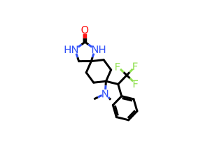 CN(C)C1(C(c2ccccc2)C(F)(F)F)CCC2(CC1)CNC(=O)N2